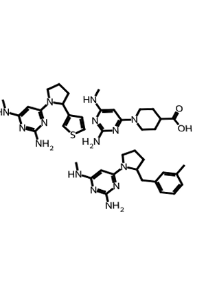 CNc1cc(N2CCC(C(=O)O)CC2)nc(N)n1.CNc1cc(N2CCCC2Cc2cccc(C)c2)nc(N)n1.CNc1cc(N2CCCC2c2ccsc2)nc(N)n1